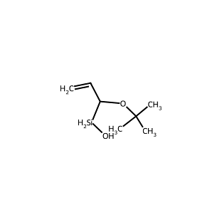 C=CC(OC(C)(C)C)[SiH2]O